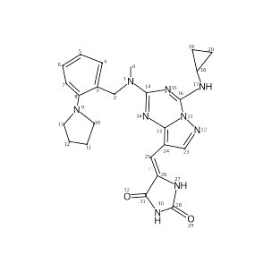 CN(Cc1ccccc1N1CCCC1)c1nc(NC2CC2)n2ncc(/C=C3\NC(=O)NC3=O)c2n1